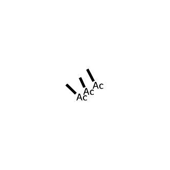 CC(C)=O.CC(C)=O.CC(C)=O